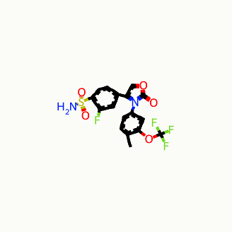 Cc1ccc(-n2c(-c3ccc(S(N)(=O)=O)c(F)c3)coc2=O)cc1OC(F)(F)F